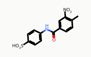 Cc1ccc(C(=O)Nc2ccc(S(=O)(=O)O)cc2)cc1[N+](=O)[O-]